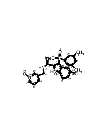 COP(=O)(c1cc(C)cc(C)c1)c1c(C(=O)NCc2ccc[n+]([O-])c2)[nH]c2ccc(Cl)cc12